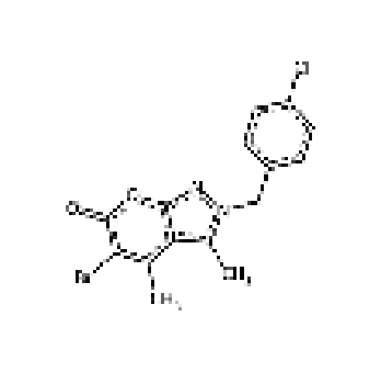 Cc1c(Br)c(=O)oc2nn(Cc3ccc(Cl)cc3)c(C)c12